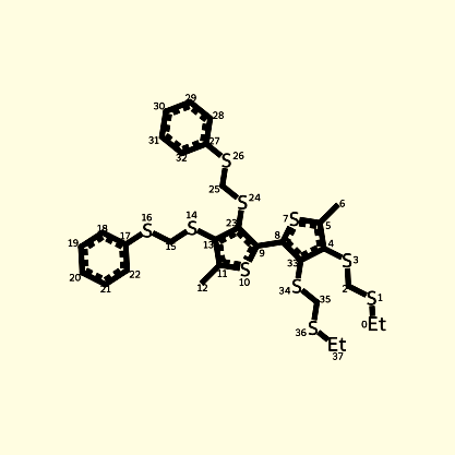 CCSCSc1c(C)sc(-c2sc(C)c(SCSc3ccccc3)c2SCSc2ccccc2)c1SCSCC